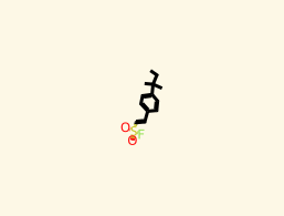 CCC(C)(C)c1ccc(C=CS(=O)(=O)F)cc1